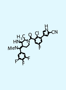 CN/C(=C1/CCN(C(=O)c2cc(F)cc(-c3c[nH]c(C#N)c3)c2Cl)[C@H](C)C1=N)c1cc(F)c(F)c(F)c1